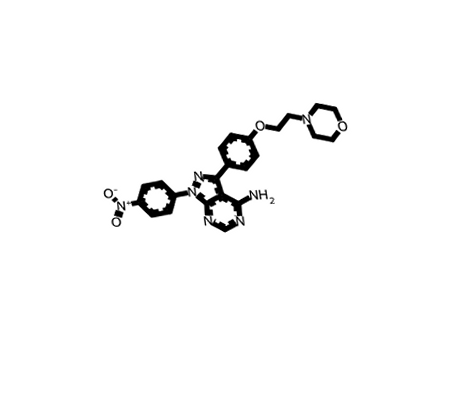 Nc1ncnc2c1c(-c1ccc(OCCN3CCOCC3)cc1)nn2-c1ccc([N+](=O)[O-])cc1